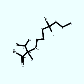 CCCC(F)(F)CCCSC(C)(C(=O)O)C(C)C